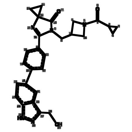 O=C(C1CC1)N1CC(CN2C(=O)C3(CC3)N=C2c2ccc(-c3ccc4[nH]nc(CO)c4c3)cc2)C1